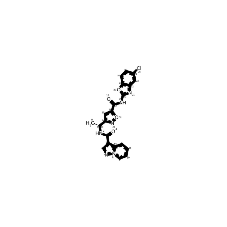 C[C@@H](NC(=O)c1cnn2ccccc12)c1cc(C(=O)Nc2nc3cc(Cl)ccc3o2)on1